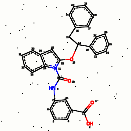 O=C(O)c1cccc(NC(=O)n2c(OC(Cc3ccccc3)c3ccccc3)cc3ccccc32)c1